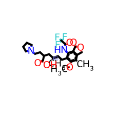 COc1c(C)c2c(c(NC(=O)C(F)(F)F)c1C/C=C(\C)CC(CCN1CCCC1)C(=O)O)C(=O)OC2